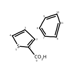 O=C(O)c1cccs1.c1ccccc1